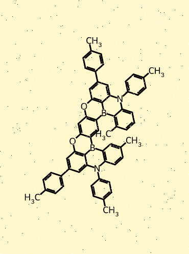 Cc1ccc(-c2cc3c4c(c2)N(c2ccc(C)cc2)c2ccc(C)cc2B4c2cc4c(cc2O3)Oc2cc(-c3ccc(C)cc3)cc3c2B4c2c(C)cccc2N3c2ccc(C)cc2)cc1